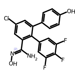 N/C(=N\O)c1cc(Cl)cc(-c2ccc(O)cc2)c1-c1cc(F)c(F)c(F)c1